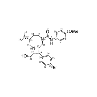 COc1ccc(NC(=O)N2CCC(N(C)C)CN3C(C2)C(c2ccc(Br)cc2)[C@H]3CO)cc1